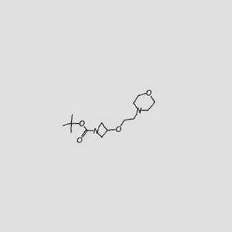 CC(C)(C)OC(=O)N1CC(OCCN2CCOCC2)C1